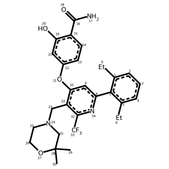 CCc1cccc(CC)c1-c1cc(Oc2ccc(C(N)=O)c(O)c2)c(CN2CCOC(C)(C)C2)c(C(F)(F)F)n1